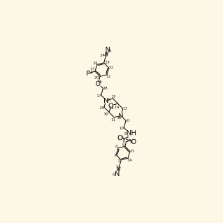 N#Cc1ccc(S(=O)(=O)NCCN2CC3CN(CCOc4ccc(C#N)cc4F)CC(C2)O3)cc1